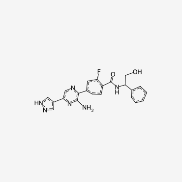 Nc1nc(-c2cn[nH]c2)cnc1-c1ccc(C(=O)NC(CO)c2ccccc2)c(F)c1